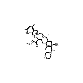 CCC(CCC1C([C@@H](C)OCNCc2c(C)cc(C)[nH]c2=O)=CN(CC)C(C(C)N2CCOCC2)=C1C)C(=O)OC(C)(C)C